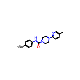 CCCCc1ccc(NC(=O)N2CCN(c3ccc(C)cn3)CC2)cc1